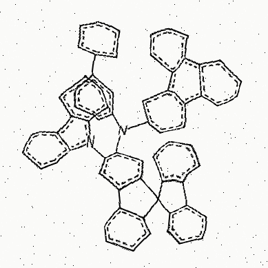 c1ccc(-c2cccc(N(c3ccc4c5ccccc5c5ccccc5c4c3)c3cc4c(cc3-n3c5ccccc5c5ccccc53)-c3ccccc3C43c4ccccc4-c4ccccc43)c2)cc1